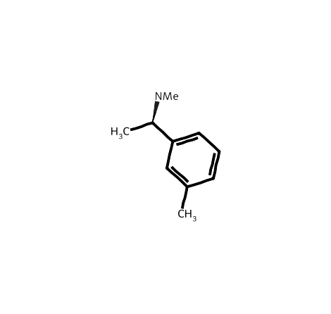 CN[C@H](C)c1cccc(C)c1